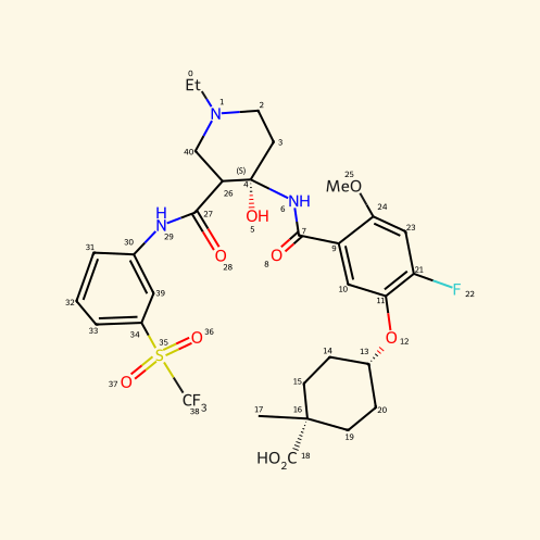 CCN1CC[C@@](O)(NC(=O)c2cc(O[C@H]3CC[C@@](C)(C(=O)O)CC3)c(F)cc2OC)C(C(=O)Nc2cccc(S(=O)(=O)C(F)(F)F)c2)C1